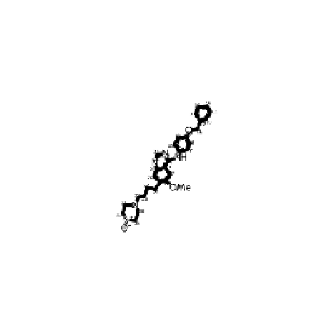 COc1cc2c(Nc3ccc(OCc4ccccc4)cc3)ncnc2cc1CCCCN1CC[S+]([O-])CC1